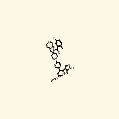 CCOc1cc(-c2ccc(N3CCC(CN4CCOCC4)(NC(=O)c4cc(F)ccc4C)CC3)nc2)c2c3cn[nH]c3nn2c1